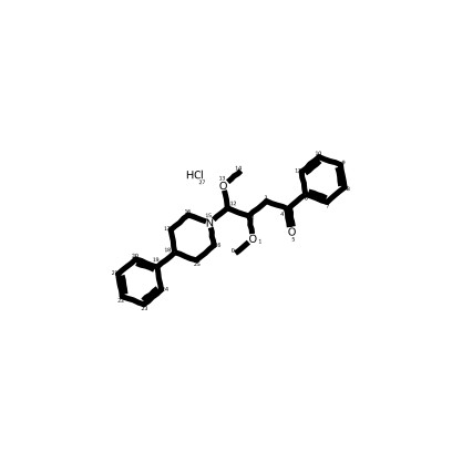 COC(CC(=O)c1ccccc1)C(OC)N1CCC(c2ccccc2)CC1.Cl